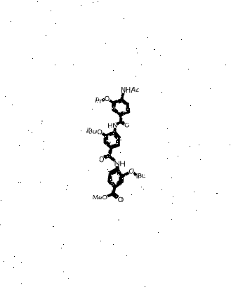 CCC(C)Oc1cc(C(=O)OC)ccc1NC(=O)c1ccc(NC(=O)c2ccc(NC(C)=O)c(OC(C)C)c2)c(OCC(C)C)c1